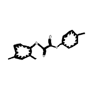 Cc1ccc(OC(=O)C(=O)Oc2ccc(C)cc2C)cc1